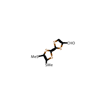 CSC1=C(SC)SC(=C2SC=C(C=O)S2)S1